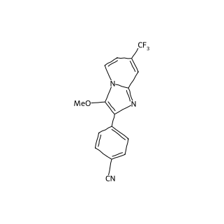 COc1c(-c2ccc(C#N)cc2)nc2cc(C(F)(F)F)ccn12